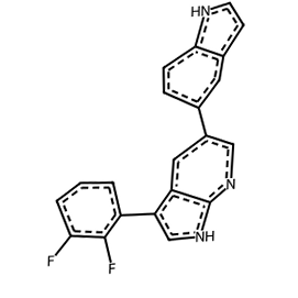 Fc1cccc(-c2c[nH]c3ncc(-c4ccc5[nH]ccc5c4)cc23)c1F